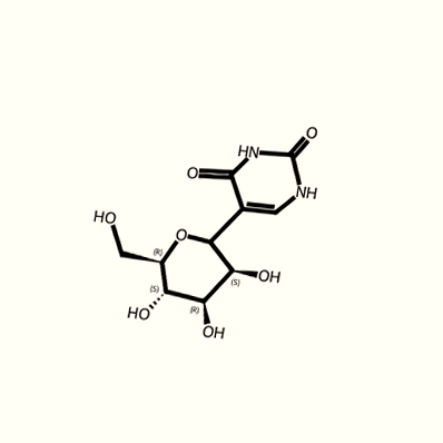 O=c1[nH]cc(C2O[C@H](CO)[C@@H](O)[C@H](O)[C@@H]2O)c(=O)[nH]1